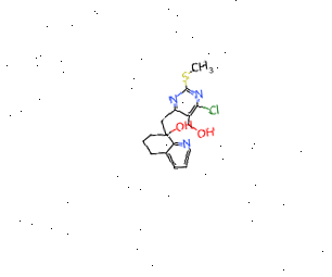 CSc1nc(Cl)c(CO)c(CC2(O)CCCc3cccnc32)n1